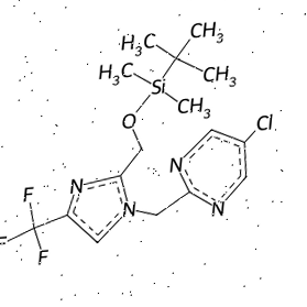 CC(C)(C)[Si](C)(C)OCc1nc(C(F)(F)F)cn1Cc1ncc(Cl)cn1